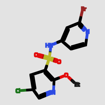 CCOc1ncc(Cl)cc1S(=O)(=O)Nc1ccnc(Br)c1